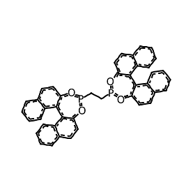 c1ccc2c(c1)ccc1op(CCp3oc4ccc5ccccc5c4c4c(ccc5ccccc54)o3)oc3ccc4ccccc4c3c12